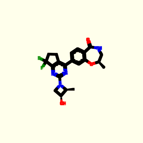 C[C@@H]1CNC(=O)c2ccc(-c3nc(N4C[C@@H](O)[C@@H]4C)nc4c3CCC4(F)F)cc2O1